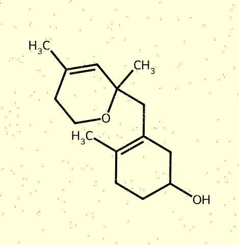 CC1=CC(C)(CC2=C(C)CCC(O)C2)OCC1